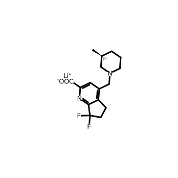 C[C@H]1CCCN(Cc2cc(C(=O)[O-])nc3c2CCC3(F)F)C1.[Li+]